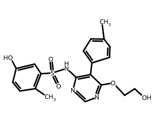 Cc1ccc(-c2c(NS(=O)(=O)c3cc(O)ccc3C)ncnc2OCCO)cc1